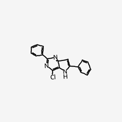 Clc1nc(-c2ccccc2)nc2cc(-c3ccccc3)[nH]c12